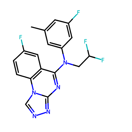 Cc1cc(F)cc(N(CC(F)F)c2nc3nncn3c3ccc(F)cc23)c1